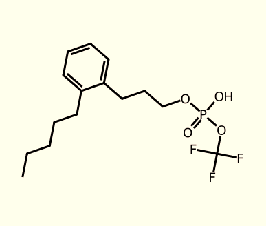 CCCCCc1ccccc1CCCOP(=O)(O)OC(F)(F)F